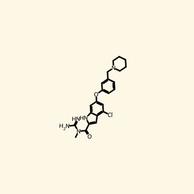 CN(C(=N)N)C(=O)c1cc2c(Cl)cc(Oc3cccc(CN4CCCCC4)c3)cc2[nH]1